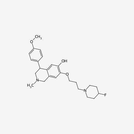 COc1ccc(C2CN(C)Cc3cc(OCCCN4CCC(F)CC4)c(O)cc32)cc1